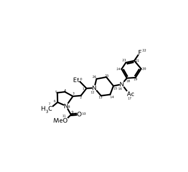 CCC(CC1CCC(C)N1C(=O)OC)N1CCC(N(C(C)=O)c2ccc(F)cc2)CC1